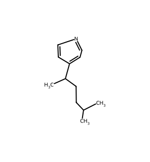 CC(C)CCC(C)c1ccncc1